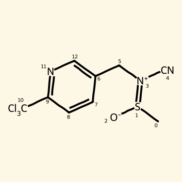 CS([O-])=[N+](C#N)Cc1ccc(C(Cl)(Cl)Cl)nc1